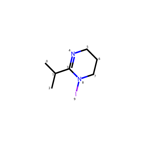 CC(C)C1=NCCCN1I